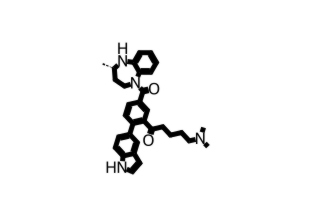 C[C@H]1CCN(C(=O)c2ccc(-c3ccc4[nH]ccc4c3)c(C(=O)CCCCN(C)C)c2)c2ccccc2N1